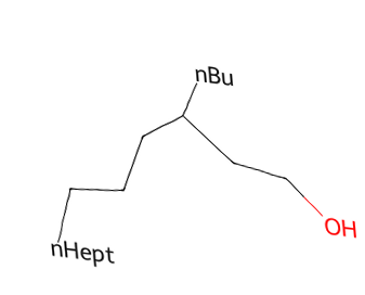 CCCCCCCCCCC(CCO)CCCC